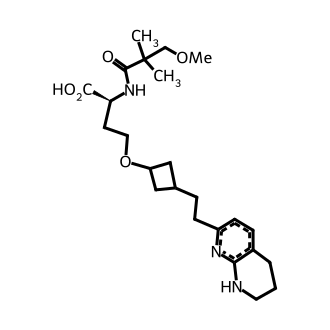 COCC(C)(C)C(=O)N[C@@H](CCOC1CC(CCc2ccc3c(n2)NCCC3)C1)C(=O)O